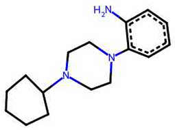 Nc1ccccc1N1CCN(C2CCCCC2)CC1